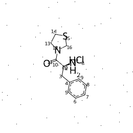 Cl.N[C@@H](Cc1ccccc1)C(=O)N1CCSC1